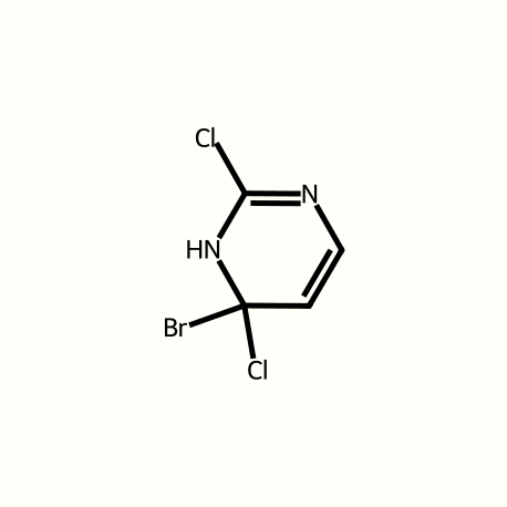 ClC1=NC=CC(Cl)(Br)N1